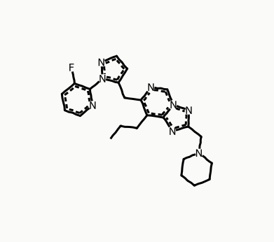 CCCc1c(Cc2ccnn2-c2ncccc2F)ncn2nc(CN3CCCCC3)nc12